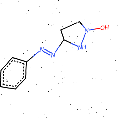 ON1CCC(N=Nc2ccccc2)N1